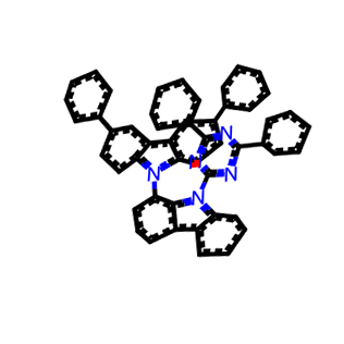 c1ccc(-c2ccc3c(c2)c2cc(-c4ccccc4)ccc2n3-c2cccc3c4ccccc4n(-c4nc(-c5ccccc5)nc(-c5ccccc5)n4)c23)cc1